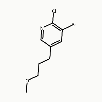 COCCCc1cnc(Cl)c(Br)c1